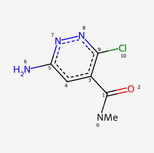 CNC(=O)c1cc(N)nnc1Cl